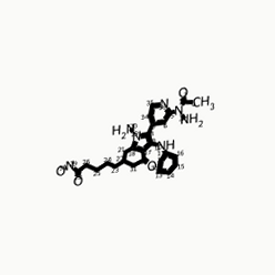 CC(=O)N(N)c1cc(-c2c(Nc3ccccc3)c3c(n2N)CC(CCCCC(=O)N=O)CC3=O)ccn1